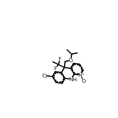 CC(C)OCC1(C(C)(F)F)c2cc(Cl)ccc2Nc2c1ccc[n+]2[O-]